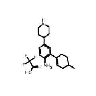 CC1CC=C(c2cc(C3CCNCC3)ccc2N)CC1.O=C(O)C(F)(F)F